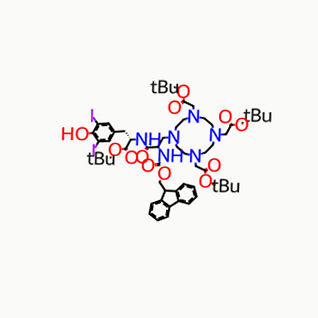 CC(C)(C)OC(=O)CN1CCN(CC(=O)OC(C)(C)C)CCN(CC(NC(=O)OCC2c3ccccc3-c3ccccc32)C(=O)N[C@@H](Cc2cc(I)c(O)c(I)c2)C(=O)OC(C)(C)C)CCN(CC(=O)OC(C)(C)C)CC1